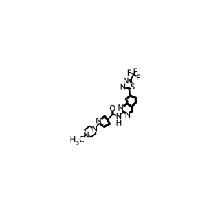 CN1CCN(c2ccc(C(=O)Nc3ncc4ccc(-c5nnc(C(F)(F)F)s5)cc4n3)cn2)CC1